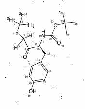 [2H]C([2H])([2H])SC([2H])([2H])C(=O)[C@H](Cc1ccc(O)cc1)NC(=O)OC(C)(C)C